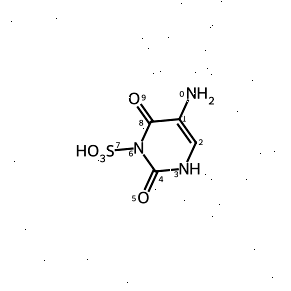 Nc1c[nH]c(=O)n(S(=O)(=O)O)c1=O